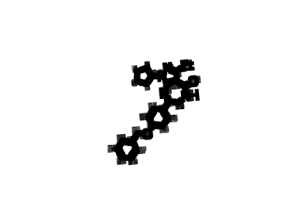 CCc1nn(C2CCCC2)c2c1C(=O)NCC(c1ccc(OCc3ccccc3)cc1)=N2